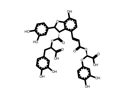 O=C(/C=C/c1ccc(O)c2c1[C@H](C(=O)OC(Cc1ccc(O)c(O)c1)C(=O)O)C(c1ccc(O)c(O)c1)O2)O[C@H](Oc1ccc(O)c(O)c1)C(=O)O